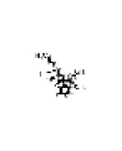 CCCCOCCCC(C(=O)OCC)(C(=O)OCC)c1cc(F)ccc1OC